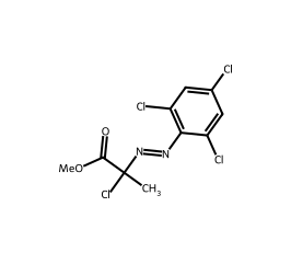 COC(=O)C(C)(Cl)N=Nc1c(Cl)cc(Cl)cc1Cl